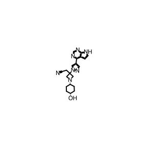 N#CCC1(n2cc(-c3ncnc4[nH]ccc34)cn2)CN([C@H]2CC[C@@H](O)CC2)C1